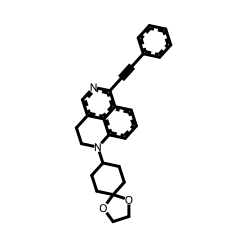 C(#Cc1ncc2c3c(cccc13)N(C1CCC3(CC1)OCCO3)CC2)c1ccccc1